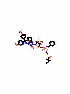 CCC(C)(C)C(=O)SCCOP(=O)(NCc1ccccc1)OC[C@H]1O[C@@H](n2ccc(NC(c3ccccc3)(c3ccc(OC)cc3)c3ccc(OC)cc3)nc2=O)C(C)(O)[C@H]1O